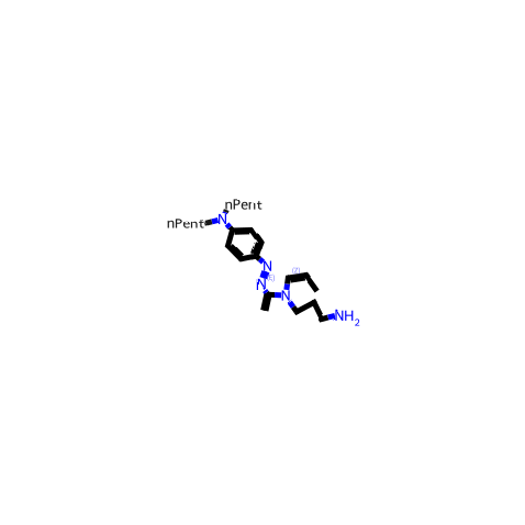 C=C(/N=N/c1ccc(N(CCCCC)CCCCC)cc1)N(/C=C\C)CCCN